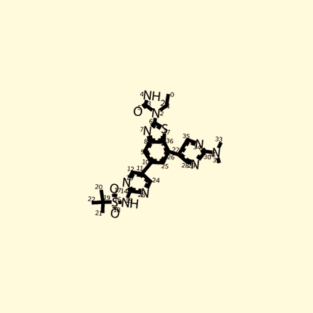 CCN(C(N)=O)c1nc2cc(-c3cnc(NS(=O)(=O)C(C)(C)C)nc3)cc(-c3cnc(N(C)C)nc3)c2s1